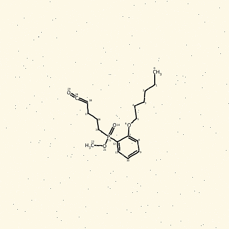 CCCCCCOc1ccccc1P(=O)(CCCC=C=O)OC